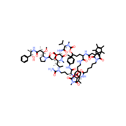 CCCCCC(NC(=O)CCC1(C)C2(C)C(C)=C(C)C1(C)C1C(=O)N(CCCCCC(=O)N[C@H](C(=O)N[C@@H](CCCNC(N)=O)C(=O)Nc3ccc(COC(=O)N(C)[C@H](C(=O)N[C@H](C(=O)N(C)[C@@H]([C@@H](C)CC)[C@@H](CC(=O)N4CCC[C@H]4[C@H](OC)[C@@H](C)C(=O)N[C@H](C)[C@H](O)c4ccccc4)OC)C(C)C)C(C)C)cc3)C(C)C)C(=O)C12)C(=O)NCCC1=CC2OC1C1C(=O)N(C)C(=O)C21